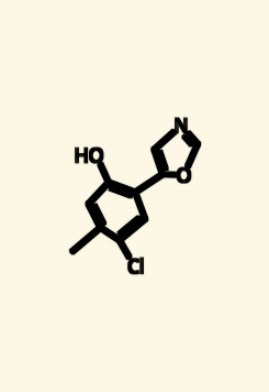 Cc1cc(O)c(-c2cnco2)cc1Cl